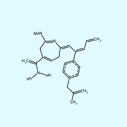 C=C/C=C(\C=C1/CC=C(C(=C)N(CCC)CCC)CC(NC)=N1)c1ccc(CC(=C)C)cc1